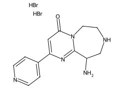 Br.Br.NC1CNCCn2c1nc(-c1ccncc1)cc2=O